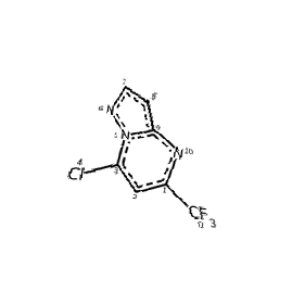 FC(F)(F)c1cc(Cl)n2nccc2n1